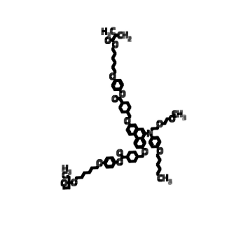 C=C(C)C(=O)OCCCCCCOc1ccc(OC(=O)C2CCC(COc3ccc4c(c3)cc(N(CCOCCOC)c3ccc(OCCCCCC)cc3)c3cc(OCC5CCC(C(=O)Oc6ccc(OCCCCCCOC7(CC)CCO7)cc6)CC5)ccc34)CC2)cc1